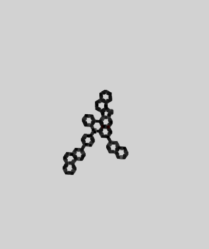 c1cc(-c2ccc3ccccc3c2)cc(N(c2ccc(-c3ccc4c(ccc5ccccc54)c3)cc2)c2ccccc2-c2cccc3oc4c5ccccc5ccc4c23)c1